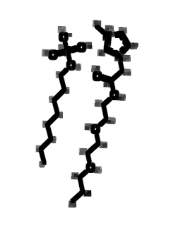 CCCCCCCCOS(=O)(=O)[O-].CCCOCCOCCOC(=O)Cn1cc[n+](C)c1